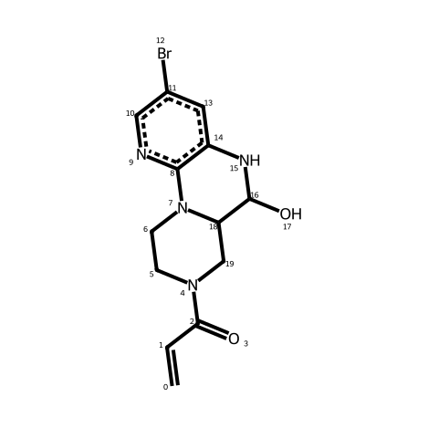 C=CC(=O)N1CCN2c3ncc(Br)cc3NC(O)C2C1